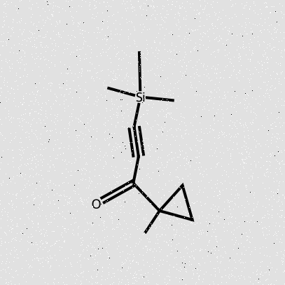 CC1(C(=O)C#C[Si](C)(C)C)CC1